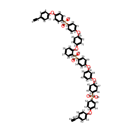 C#Cc1ccc(Oc2ccc(S(=O)(=O)c3ccc(Oc4ccc(Oc5ccccc5S(=O)(=O)c5ccc(Oc6cccc(Oc7ccc(S(=O)(=O)c8ccc(Oc9ccc(C#C)cc9)cc8)cc7)c6)cc5)cc4)cc3)cc2)cc1